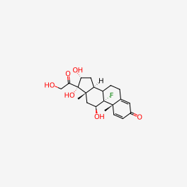 C[C@]12C=CC(=O)C=C1CCC1[C@@H]3C[C@@H](O)[C@](O)(C(=O)CO)[C@@]3(C)C[C@H](O)[C@@]12F